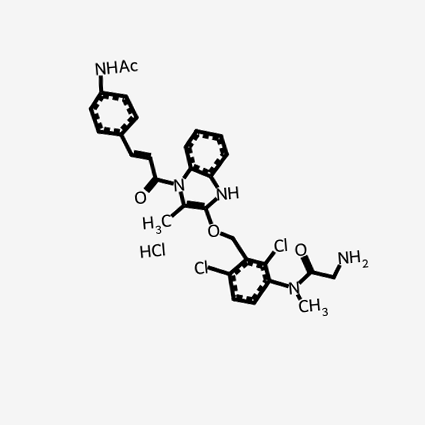 CC(=O)Nc1ccc(C=CC(=O)N2C(C)=C(OCc3c(Cl)ccc(N(C)C(=O)CN)c3Cl)Nc3ccccc32)cc1.Cl